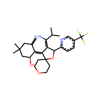 C=C1CC(C)(C)C[C@H](O)/C1=C1/C(=C(\N)C(C)C)C(c2ccc(C(F)(F)F)cn2)OC12CCOCC2